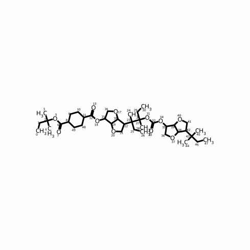 CCC(C)(C)OC(=O)C1CCC(C(=O)OC2COC3C2OCC3C(C)(CC)C(C)(CC)OC(=O)OC2COC3C2OCC3C(C)(C)CC)CC1